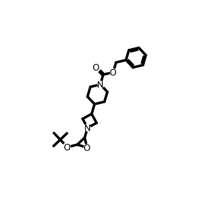 CC(C)(C)OC1OC1N1CC(C2CCN(C(=O)OCc3ccccc3)CC2)C1